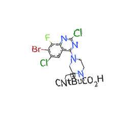 CC(C)(C)[C@@]1(CC#N)CN(c2nc(Cl)nc3c(F)c(Br)c(Cl)cc23)CCN1C(=O)O